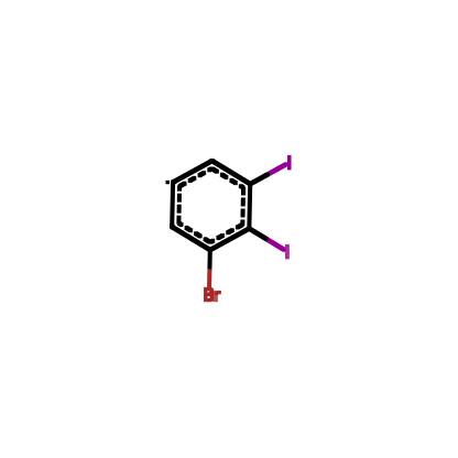 Brc1c[c]cc(I)c1I